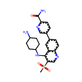 CS(=O)(=O)c1cnc2ccc(-c3ccc(C(N)=O)nc3)cc2c1NC1CCC(N)CC1